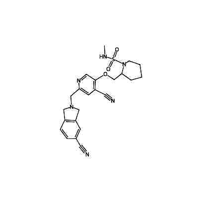 CNS(=O)(=O)N1CCCCC1COc1cnc(CN2Cc3ccc(C#N)cc3C2)cc1C#N